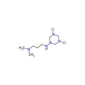 CN(C)CCCNN1CN(Cl)CN(Cl)C1